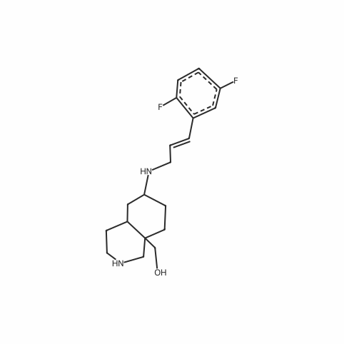 OCC12CCC(NCC=Cc3cc(F)ccc3F)CC1CCNC2